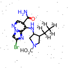 [2H]C([2H])([2H])C([2H])([2H])C1CN(C(=O)O)CC1Nc1c(C(N)=O)cnn2cc(Br)nc12